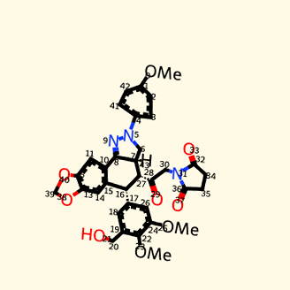 COc1ccc(N2C[C@@H]3C(=N2)c2cc4c(cc2[C@@H](c2cc(CO)c(OC)c(OC)c2)[C@H]3C(=O)CN2C(=O)CCC2=O)OCO4)cc1